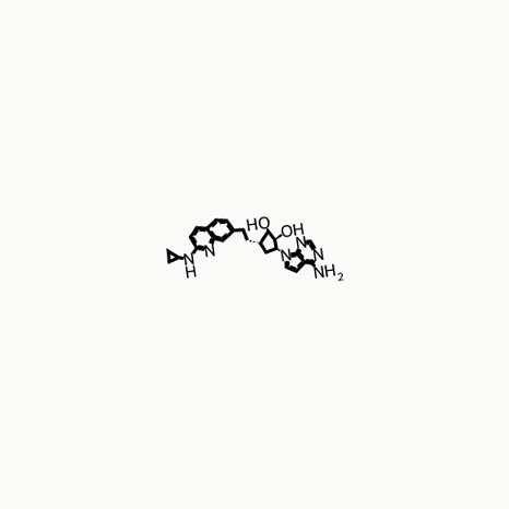 Nc1ncnc2c1ccn2[C@@H]1C[C@H](CCc2ccc3ccc(NC4CC4)nc3c2)[C@@H](O)[C@H]1O